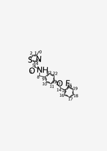 Cc1csc(C(=O)NCc2ccc(OCc3ccccc3F)cc2)n1